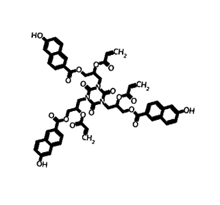 C=CC(=O)OC(COC(=O)c1ccc2cc(O)ccc2c1)Cn1c(=O)n(CC(COC(=O)c2ccc3cc(O)ccc3c2)OC(=O)C=C)c(=O)n(CC(COC(=O)c2ccc3cc(O)ccc3c2)OC(=O)C=C)c1=O